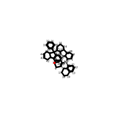 C1=CC(N(C2=CCCC=C2)c2cccc3c2CCCC3)C2O[C@H]3C(CCCC3C3(c4ccccc4)C4=C(CCC=C4)C4CC=CCC43)C2=C1